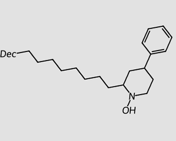 CCCCCCCCCCCCCCCCCCC1CC(c2ccccc2)CCN1O